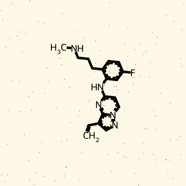 C=Cc1cnn2ccc(Nc3cc(F)ccc3CCCNC)nc12